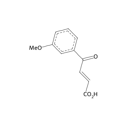 COc1cccc(C(=O)C=CC(=O)O)c1